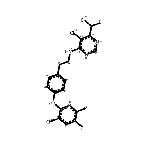 Cc1cc(Cl)c(Oc2ccc(CCNc3ncnc(C(C)Cl)c3Cl)cc2)nc1C